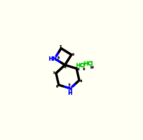 C1CC2(CCN1)CCN2.Cl.Cl